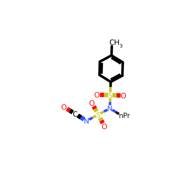 CCCN(S(=O)(=O)N=C=O)S(=O)(=O)c1ccc(C)cc1